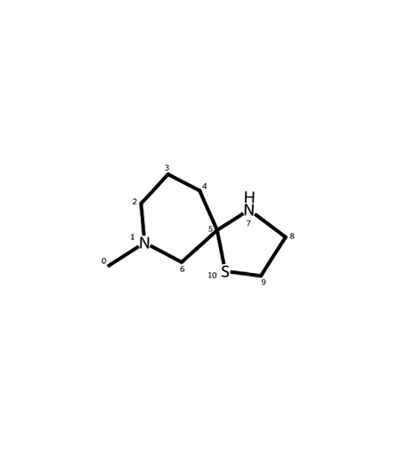 CN1CCCC2(C1)NCCS2